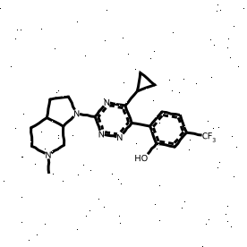 CN1CCC2CCN(c3nnc(-c4ccc(C(F)(F)F)cc4O)c(C4CC4)n3)C2C1